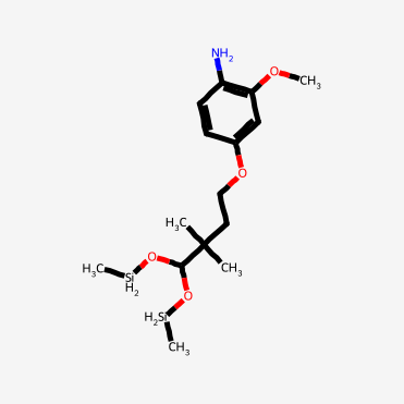 COc1cc(OCCC(C)(C)C(O[SiH2]C)O[SiH2]C)ccc1N